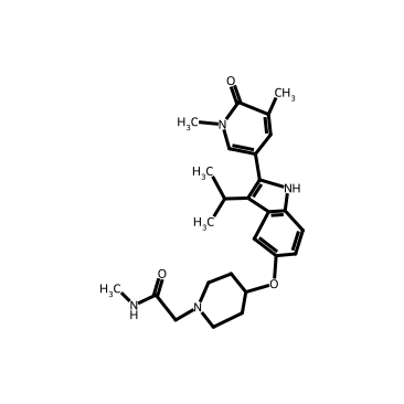 CNC(=O)CN1CCC(Oc2ccc3[nH]c(-c4cc(C)c(=O)n(C)c4)c(C(C)C)c3c2)CC1